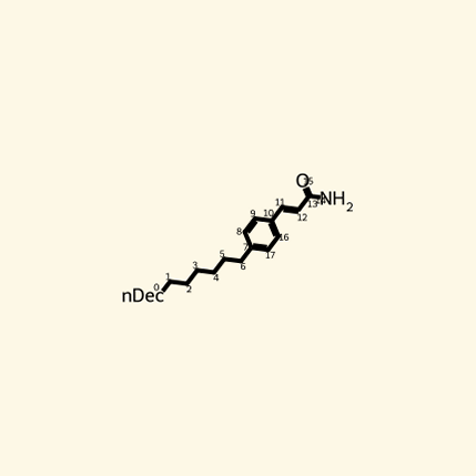 CCCCCCCCCCCCCCCCc1ccc(C=CC(N)=O)cc1